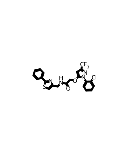 O=C(COc1cc(C(F)(F)F)nn1-c1ccccc1Cl)NCc1csc(-c2ccccc2)n1